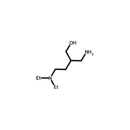 CCN(CC)CCC(CN)CO